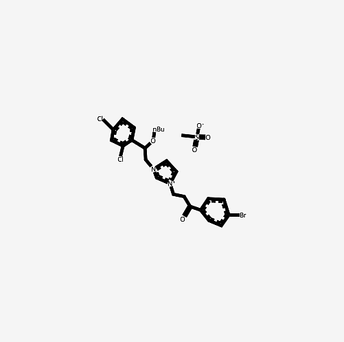 CCCCOC(Cn1cc[n+](CCC(=O)c2ccc(Br)cc2)c1)c1ccc(Cl)cc1Cl.CS(=O)(=O)[O-]